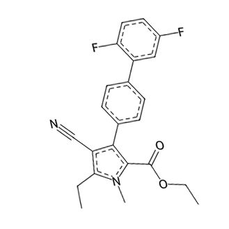 CCOC(=O)c1c(-c2ccc(-c3cc(F)ccc3F)cc2)c(C#N)c(CC)n1C